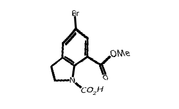 COC(=O)c1cc(Br)cc2c1N(C(=O)O)CC2